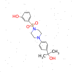 CC(C)(O)c1ccc(N2CCN(S(=O)(=O)c3cccc(O)c3)CC2)cc1